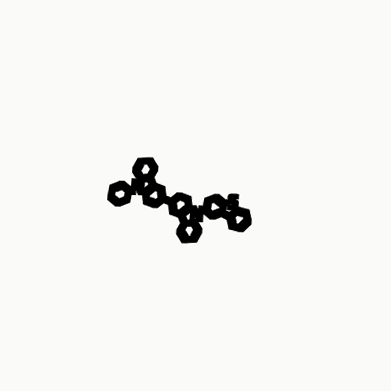 C1=CC2C3=C(CCC(c4ccc5c(c4)c4c(n5C5C=CCCC5)C=CCC4)=C3)N(c3ccc4sc5ccccc5c4c3)C2C=C1